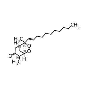 CCCCCCCCCC=C[C@]1(C)OO[C@@H]2C[C@H]1CC(=O)[C@@H]2C